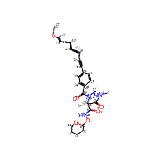 CNC(=O)[C@@](C)(C(=O)NOC1CCCCO1)N(C)C(=O)c1ccc(C#C/C=C/CCCOC)cc1